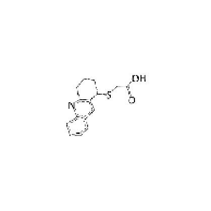 O=C(O)CSC1CCCc2nc3ccccc3cc21